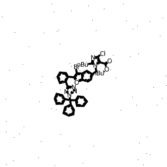 CCCCOC(=O)c1c(Cl)nc(CCCC)n1Cc1ccc2oc(-c3ccccc3-c3nnn(C(c4ccccc4)(c4ccccc4)c4ccccc4)n3)c(Br)c2c1